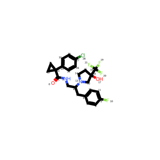 O=C(NCC(Cc1ccc(F)cc1)N1CCC(O)(C(F)(F)F)C1)C1(c2ccc(Cl)cc2)CC1